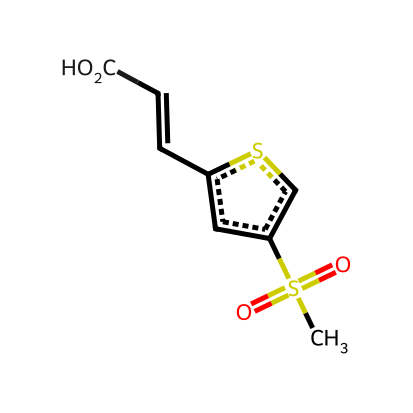 CS(=O)(=O)c1csc(C=CC(=O)O)c1